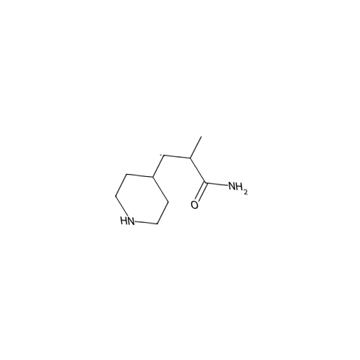 CC([CH]C1CCNCC1)C(N)=O